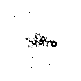 OCC[C@@]1(n2cnc3c(NCc4ccccc4)ncnc32)O[C@H](CO)[C@@H](O)[C@H]1O